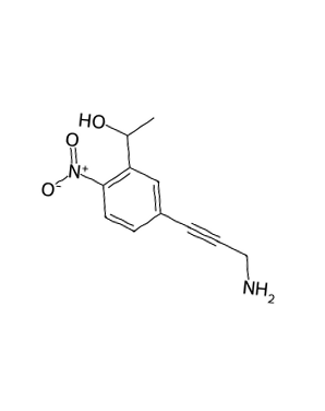 CC(O)c1cc(C#CCN)ccc1[N+](=O)[O-]